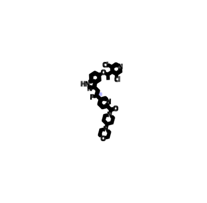 CC(Oc1ccc2[nH]nc(/C=C(\F)c3ccc(C(=O)N4CCC(N5CCOCC5)CC4)nc3)c2c1)c1c(Cl)cncc1Cl